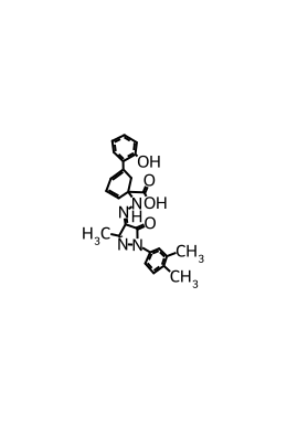 CC1=NN(c2ccc(C)c(C)c2)C(=O)/C1=N\NC1(C(=O)O)C=CC=C(c2ccccc2O)C1